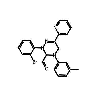 Cc1cccc(N2CC(c3ccccn3)=NN(c3ccccc3Br)C2C=O)c1